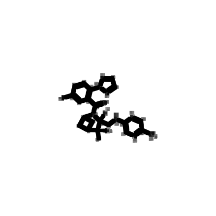 C[C@@H]1C2CC(C2)N(C(=O)c2cc(F)ccc2-n2nccn2)[C@@H]1CNc1cnc(C(F)(F)F)cn1